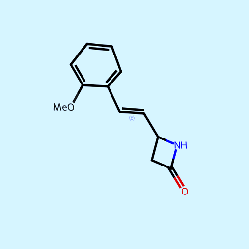 COc1ccccc1/C=C/C1CC(=O)N1